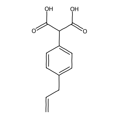 C=CCc1ccc(C(C(=O)O)C(=O)O)cc1